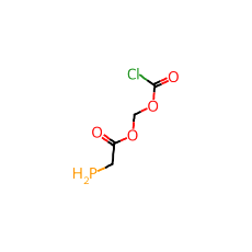 O=C(Cl)OCOC(=O)CP